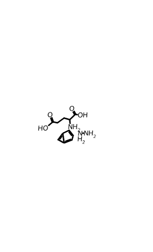 NC(CCC(=O)O)C(=O)O.NN.c1cc2cc-2c1